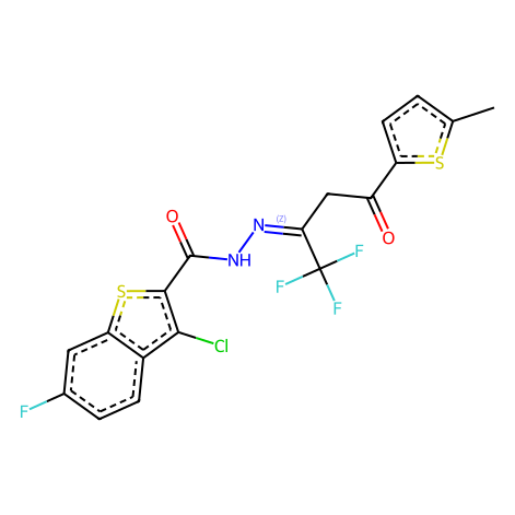 Cc1ccc(C(=O)C/C(=N/NC(=O)c2sc3cc(F)ccc3c2Cl)C(F)(F)F)s1